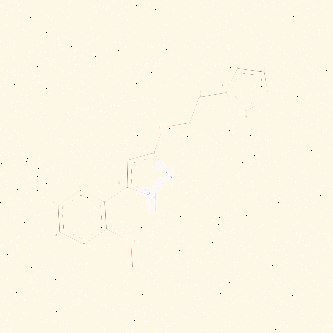 COc1ccccc1-c1cc(OCCc2ccsc2)n[nH]1